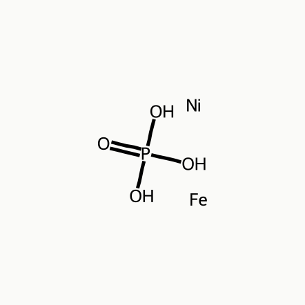 O=P(O)(O)O.[Fe].[Ni]